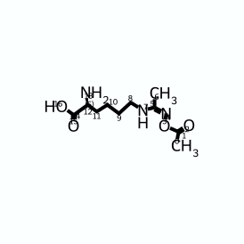 CC(=O)ON=C(C)NCCCC[C@H](N)C(=O)O